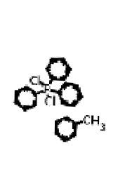 Cc1ccccc1.ClP(Cl)(c1ccccc1)(c1ccccc1)c1ccccc1